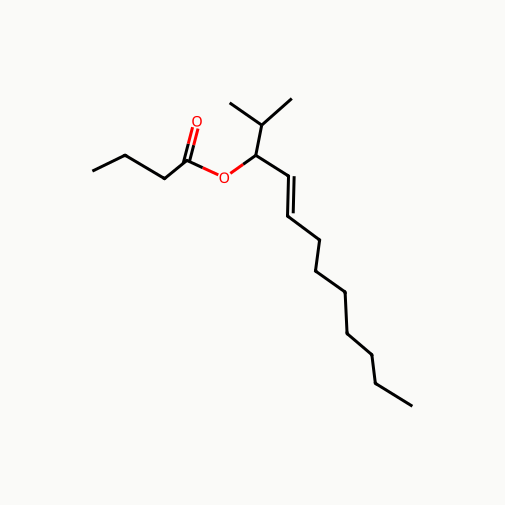 CCCCCCC/C=C/C(OC(=O)CCC)C(C)C